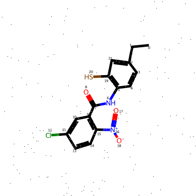 CCc1ccc(NC(=O)c2cc(Cl)ccc2[N+](=O)[O-])c(S)c1